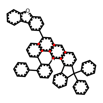 c1ccc(-c2ccccc2-c2c(-c3ccccc3)cccc2N(c2ccc(-c3ccc4oc5ccccc5c4c3)cc2)c2cccc3c2-c2ccccc2C3(c2ccccc2)c2ccccc2)cc1